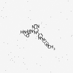 CN1CC2CN(c3ccc(-c4cc5nccnc5c(NC[C@@H]5CNCCO5)n4)cn3)CC2C1